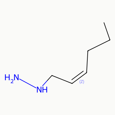 CCC/C=C\CNN